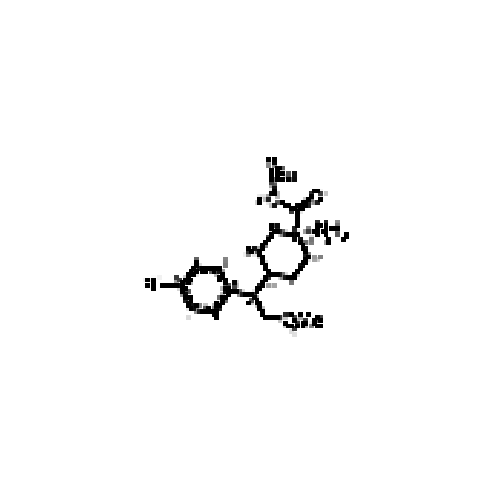 COCC(c1ccc(F)cc1)C1CC[N+](N)(C(=O)OC(C)(C)C)CC1